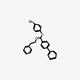 CCC(C)c1ccc(OC(OCCc2ccccc2)c2ccc(-c3ccccc3)cc2)cc1